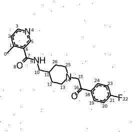 Cc1ccncc1C(=O)NCC1CCN(CC(=O)c2ccc(F)cc2)CC1